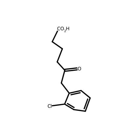 O=C(O)CCCC(=O)Cc1ccccc1Cl